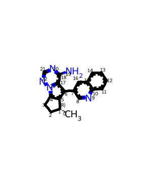 C[C@@H]1CCc2c1c(-c1cnc3ccccc3c1)c1c(N)ncnn21